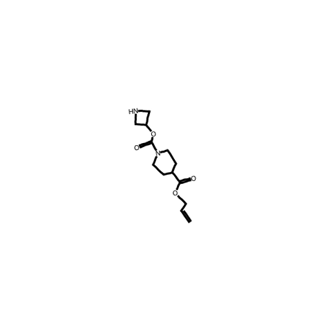 C=CCOC(=O)C1CCN(C(=O)OC2CNC2)CC1